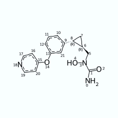 NC(=O)N(O)C[C@@H]1C[C@H]1c1cccc(Oc2ccncc2)c1